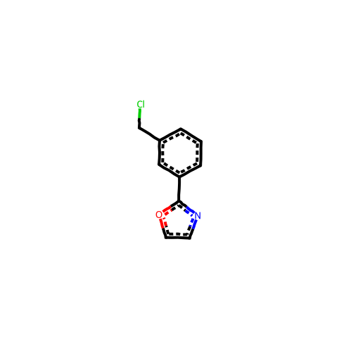 ClCc1cccc(-c2ncco2)c1